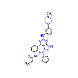 C=CC(=O)Nc1cccc(-c2nc(Nc3cccc(N4CCN(C)CC4)c3)nc3[nH]nc(Nc4cccc(F)c4)c23)c1